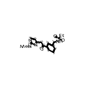 CCS(=O)(=O)NCc1cccc(C(=O)Cc2ccnc(NC)n2)c1